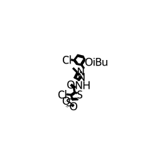 Cc1cc(NC(=O)c2scc(S(C)(=O)=O)c2Cl)nn1Cc1cc(Cl)ccc1OCC(C)C